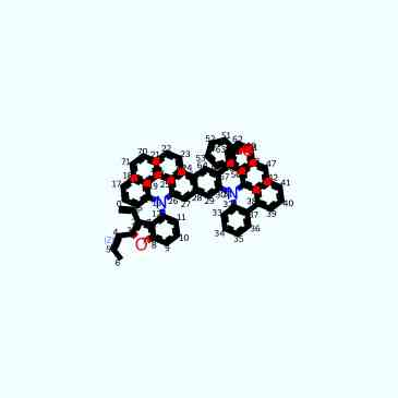 C=Cc1c(/C=C\C)oc2cccc(N(c3ccccc3-c3ccccc3)c3cc4cc(N(c5ccccc5-c5ccccc5)c5cccc6oc7ccccc7c56)c(-c5ccccc5)cc4cc3-c3ccccc3)c12